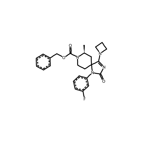 C[C@H]1CC2(CCN1C(=O)OCc1ccccc1)C(N1CCC1)=NC(=O)N2c1cccc(F)c1